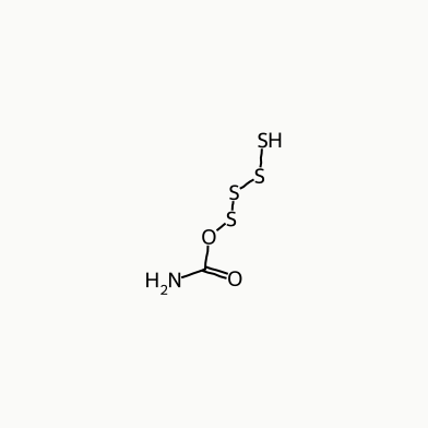 NC(=O)OSSSS